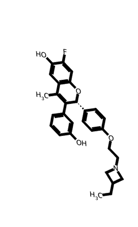 CCC1CN(CCOc2ccc([C@H]3Oc4cc(F)c(O)cc4C(C)=C3c3cccc(O)c3)cc2)C1